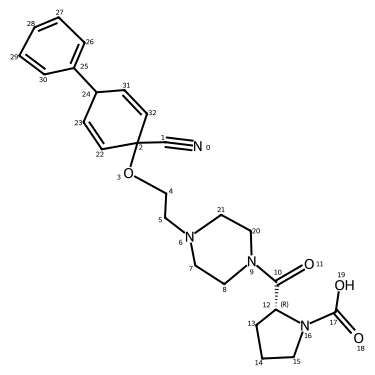 N#CC1(OCCN2CCN(C(=O)[C@H]3CCCN3C(=O)O)CC2)C=CC(c2ccccc2)C=C1